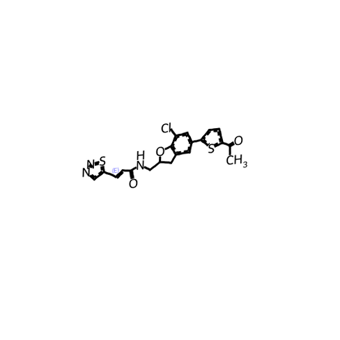 CC(=O)c1ccc(-c2cc(Cl)c3c(c2)CC(CNC(=O)/C=C/c2cnns2)O3)s1